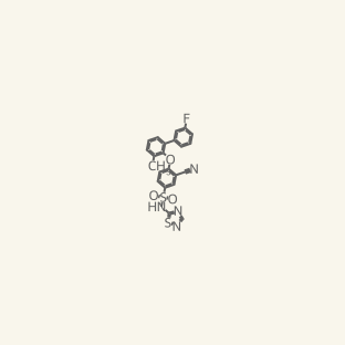 Cc1cccc(-c2cccc(F)c2)c1Oc1ccc(S(=O)(=O)Nc2ncns2)cc1C#N